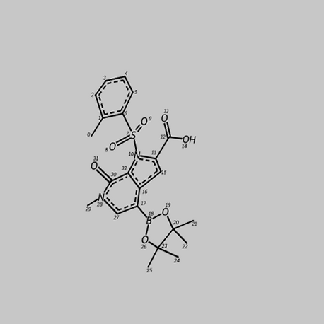 Cc1ccccc1S(=O)(=O)n1c(C(=O)O)cc2c(B3OC(C)(C)C(C)(C)O3)cn(C)c(=O)c21